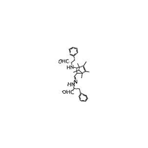 CC1=C(C)C2(C)C(N[C@H](C=O)Cc3ccccc3)C(/C=N/N[C@H](C=O)Cc3ccccc3)C1(C)C2C